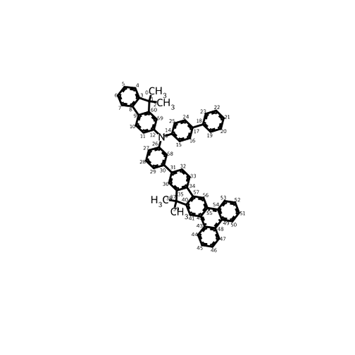 CC1(C)c2ccccc2-c2ccc(N(c3ccc(-c4ccccc4)cc3)c3cccc(-c4ccc5c(c4)C(C)(C)c4cc6c7ccccc7c7ccccc7c6cc4-5)c3)cc21